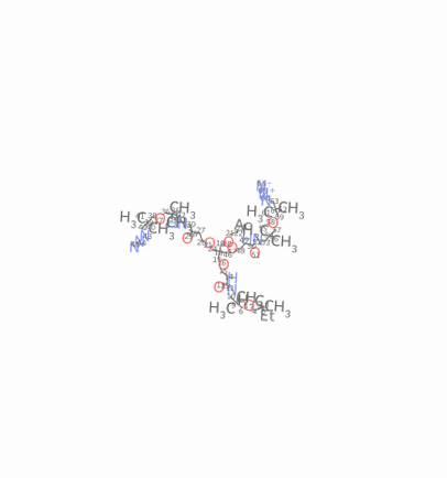 CCC(C)(C)COCC(C)(C)CNC(=O)CCOCC(COCCC(C)=O)(COCCC(=O)CNCC(C)(C)COCC(C)(C)CN=[N+]=[N-])COCCC(=O)NCC(C)(C)COCC(C)(C)CN=[N+]=[N-]